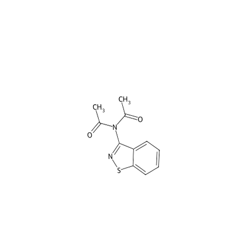 CC(=O)N(C(C)=O)c1nsc2ccccc12